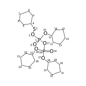 O=P(OSC1CCCCC1)(OC1CCCCC1)OP(=O)(OC1CCCCC1)OC1CCCCC1